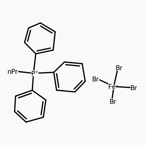 CCC[P+](c1ccccc1)(c1ccccc1)c1ccccc1.[Br][Fe-]([Br])([Br])[Br]